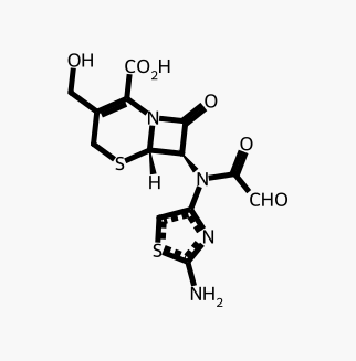 Nc1nc(N(C(=O)C=O)[C@@H]2C(=O)N3C(C(=O)O)=C(CO)CS[C@@H]23)cs1